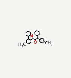 Cc1ccc(C(C(=O)C(C=O)c2ccc(C)cc2C2CCCCC2)C2CCCCC2)cc1